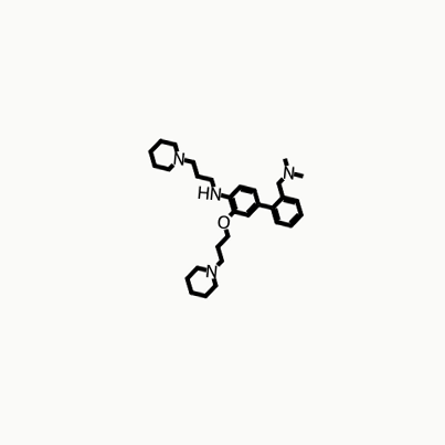 CN(C)Cc1ccccc1-c1ccc(NCCCN2CCCCC2)c(OCCCN2CCCCC2)c1